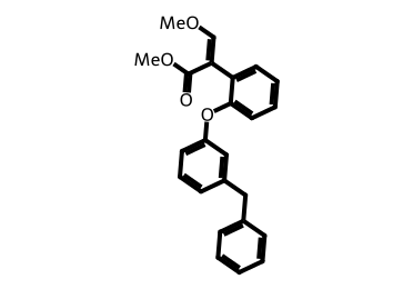 COC=C(C(=O)OC)c1ccccc1Oc1cccc(Cc2ccccc2)c1